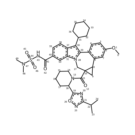 COc1ccc2c(c1)C1CC1(C(=O)N1CCCCC1c1nc(C(C)C)no1)Cn1c-2c(C2CCCCC2)c2ccc(C(=O)NS(=O)(=O)N(C)C)cc21